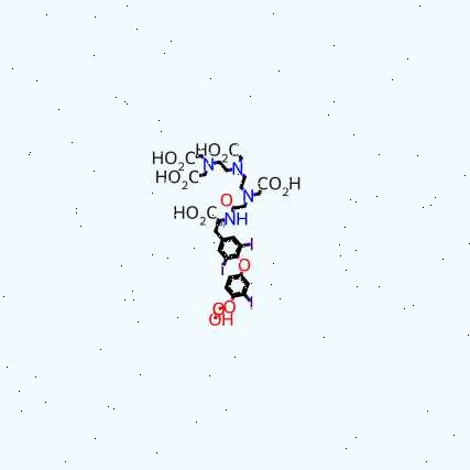 O=C(O)CN(CCN(CC(=O)O)CC(=O)O)CCN(CC(=O)O)CC(=O)N[C@@H](Cc1cc(I)c(Oc2ccc(OOO)c(I)c2)c(I)c1)C(=O)O